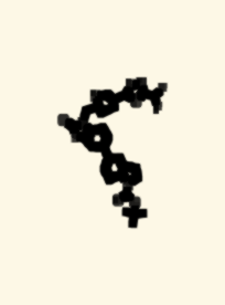 CC(C)(C)OC(=O)n1ccc2cc(-c3ccc4c(c3)sc(=O)n4Cc3ccc(-c4nnc(C(F)F)o4)cn3)ccc21